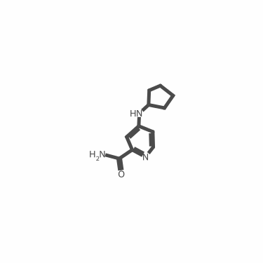 NC(=O)c1cc(NC2CCCC2)ccn1